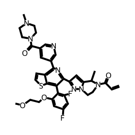 C=CC(=O)N1CCn2nc(-c3nc(-c4cncc(C(=O)N5CCN(C)CC5)c4)c4ccsc4c3-c3c(F)cc(F)cc3OCCOC)cc2C1C